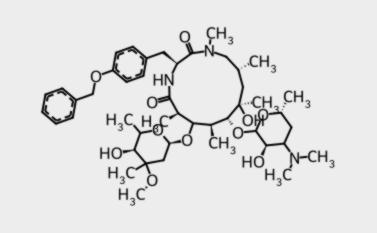 COC1(C)C[C@H](OC2[C@@H](C)C(=O)N[C@@H](Cc3ccc(OCc4ccccc4)cc3)C(=O)N(C)C[C@H](C)C[C@@](C)(O)[C@H](OC3O[C@H](C)CC(N(C)C)[C@H]3O)[C@H]2C)OC(C)[C@@H]1O